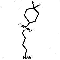 CNCCCCS(=O)(=O)C1CCC(F)(F)CC1